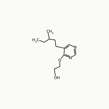 CCC(C)CCc1cncnc1OCCO